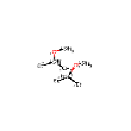 CC[SiH](C)O[SiH3].CC[SiH](CC)O[SiH3]